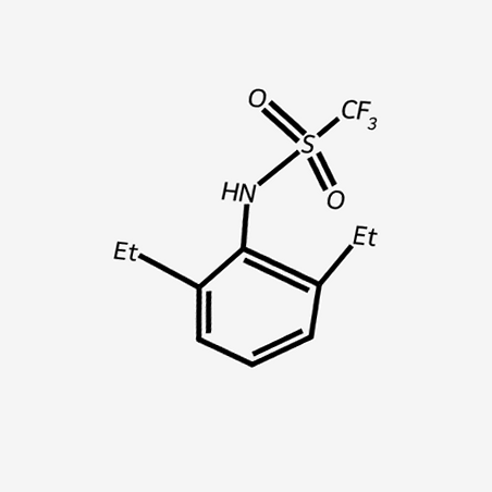 CCc1cccc(CC)c1NS(=O)(=O)C(F)(F)F